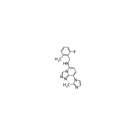 Cc1cccc(F)c1CNc1ccc(-n2ccnc2C)c2nncn12